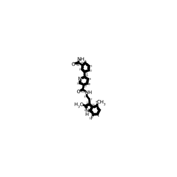 Cc1[nH]c2c(F)ccc(C)c2c1CCNC(=O)c1ccc(-c2cccc(C(N)=O)c2)nc1